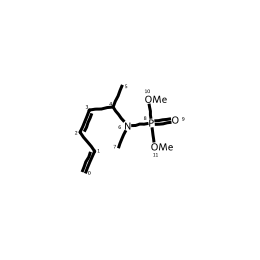 C=C/C=C\C(C)N(C)P(=O)(OC)OC